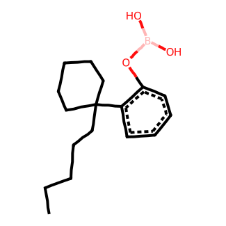 CCCCCC1(c2ccccc2OB(O)O)CCCCC1